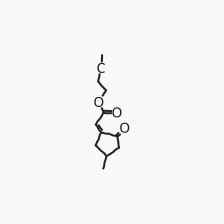 CCCCOC(=O)C=C1CC(C)CC1=O